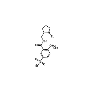 CCN1CCCC1CNC(=O)c1cc(S(=O)(=O)CC)ccc1OC.Cl